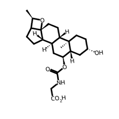 C[C@H]1O[C@]23CC[C@H]4[C@@H](C[C@H](OC(=O)NCC(=O)O)[C@H]5C[C@@H](O)CC[C@@]54C)[C@@H]2CCC13